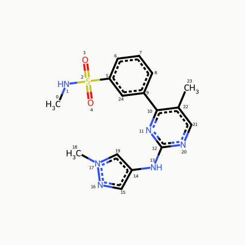 CNS(=O)(=O)c1cccc(-c2nc(Nc3cnn(C)c3)ncc2C)c1